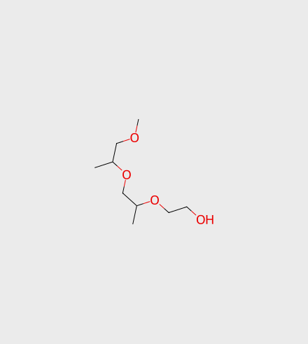 COCC(C)OCC(C)OCCO